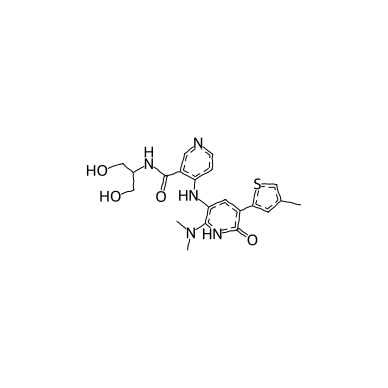 Cc1csc(-c2cc(Nc3ccncc3C(=O)NC(CO)CO)c(N(C)C)[nH]c2=O)c1